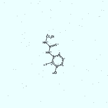 CCOC(=O)NC(=S)Nc1nccc(Cl)c1I